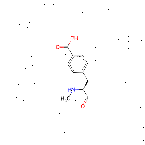 CN[C@H](C=O)Cc1ccc(C(=O)O)cc1